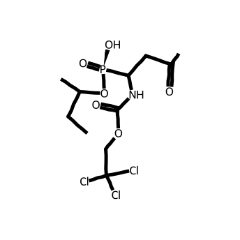 CCC(C)O[P@@](=O)(O)C(CC(C)=O)NC(=O)OCC(Cl)(Cl)Cl